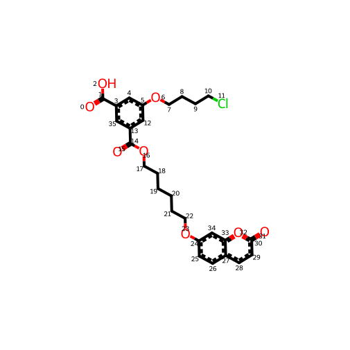 O=C(O)c1cc(OCCCCCl)cc(C(=O)OCCCCCCOc2ccc3ccc(=O)oc3c2)c1